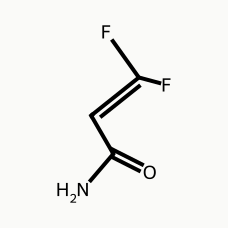 NC(=O)C=C(F)F